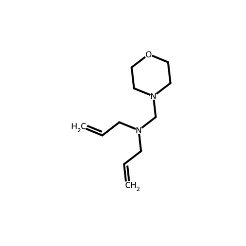 C=CCN(CC=C)CN1CCOCC1